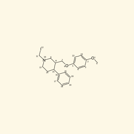 COc1ccc(OCC2CN(CI)CCC2c2ccccc2)cc1